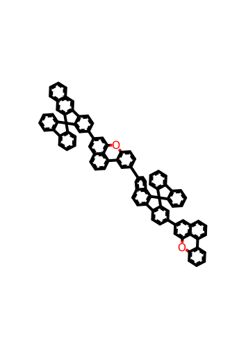 c1ccc2c(c1)Oc1cc(-c3ccc4c(c3)C3(c5ccccc5-c5ccccc53)c3c-4ccc4cc(-c5ccc6c(c5)-c5cccc7cc(-c8ccc9c(c8)C8(c%10ccccc%10-c%10ccccc%108)c8cc%10ccccc%10cc8-9)cc(c57)O6)ccc34)cc3cccc-2c13